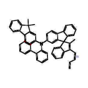 C=C/C=C\C1=C(C)C2(c3ccccc31)c1ccccc1-c1ccc(N(c3ccc4c(c3)C(C)(C)c3ccccc3-4)c3ccccc3-c3ccccc3)cc12